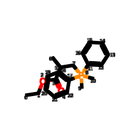 CCOC(=O)C(C)CP(C)(C)(c1ccccc1)c1ccccc1